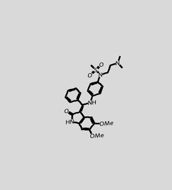 COc1cc2c(cc1OC)C(=C(Nc1ccc(N(CCN(C)C)S(C)(=O)=O)cc1)c1ccccc1)C(=O)N2